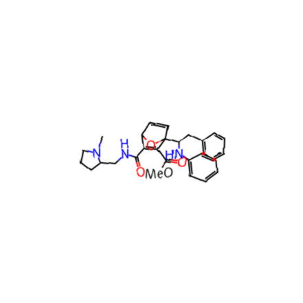 COC(=O)C1=C(C(=O)NCC2CCCN2C)C2C=CC1(C(Cc1ccccc1)Nc1ccccc1)O2